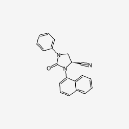 N#C[C@@H]1CN(c2ccccc2)C(=O)N1c1cccc2ccccc12